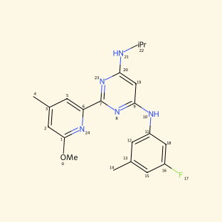 COc1cc(C)cc(-c2nc(Nc3cc(C)cc(F)c3)cc(NC(C)C)n2)n1